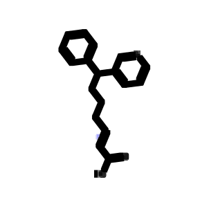 O=C(O)/C=C/CCCC(c1ccccc1)c1cccnc1